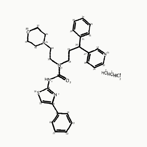 Cl.Cl.Cl.O=C(Nc1nc(-c2ccccc2)cs1)N(CCC(c1ccccc1)c1cccnc1)CCN1CCOCC1